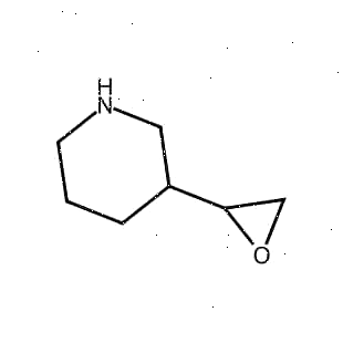 C1CNCC(C2CO2)C1